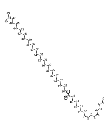 CCCCC/C=C\C/C=C\CCCCCCCC(=O)OCCCCCCCCCCCCCCCCCCCCCCCCCCCCC(C)C